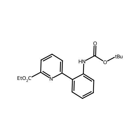 CCOC(=O)c1cccc(-c2ccccc2NC(=O)OC(C)(C)C)n1